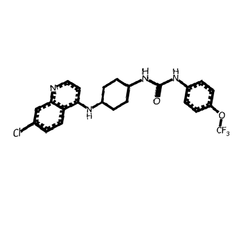 O=C(Nc1ccc(OC(F)(F)F)cc1)NC1CCC(Nc2ccnc3cc(Cl)ccc23)CC1